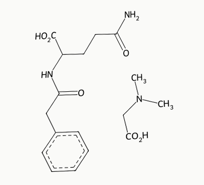 CN(C)CC(=O)O.NC(=O)CCC(NC(=O)Cc1ccccc1)C(=O)O